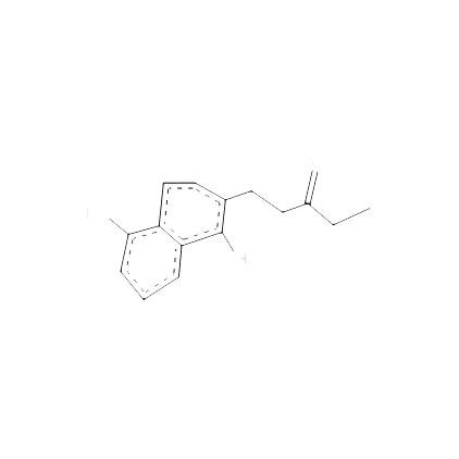 CCC(=O)CCc1ccc2c(O)cccc2c1O